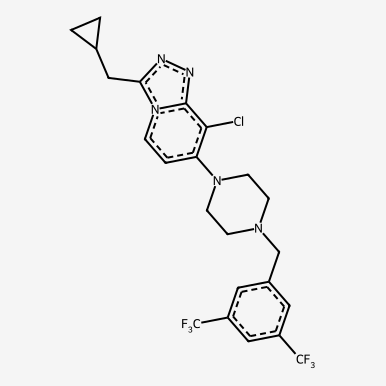 FC(F)(F)c1cc(CN2CCN(c3ccn4c(CC5CC5)nnc4c3Cl)CC2)cc(C(F)(F)F)c1